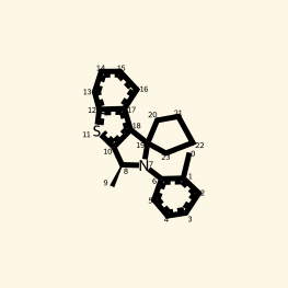 Cc1ccccc1N1[C@@H](C)c2sc3ccccc3c2C12CCCC2